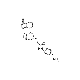 CN1C[C@H](CCC(=O)Nc2ccc(CN)nn2)CC2c3cccc4[nH]cc(c34)C[C@H]21